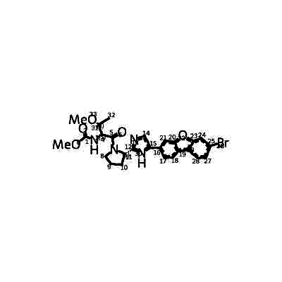 COC(=O)N[C@H](C(=O)N1CCC[C@H]1c1ncc(-c2ccc3c(c2)oc2cc(Br)ccc23)[nH]1)[C@@H](C)OC